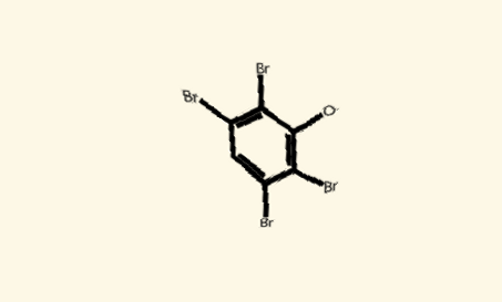 [O]c1c(Br)c(Br)cc(Br)c1Br